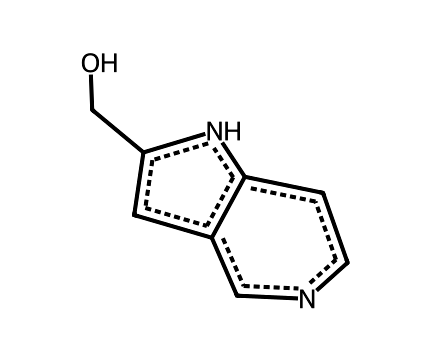 OCc1cc2cnccc2[nH]1